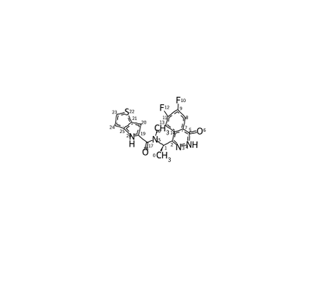 C[C@H](c1n[nH]c(=O)c2cc(F)c(F)cc12)N(C)C(=O)c1cc2sccc2[nH]1